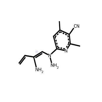 C=C/C(N)=C/N(N)c1cc(C)c(C#N)c(C)n1